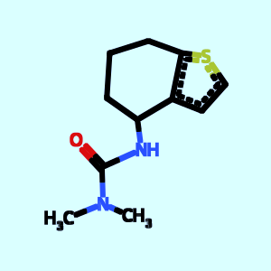 CN(C)C(=O)NC1CCCc2sccc21